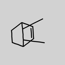 CC1C2C=CC(CC2)C1C